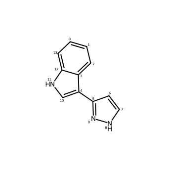 c1ccc2c(-c3cc[nH]n3)c[nH]c2c1